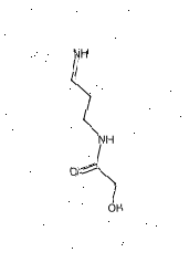 N=CCCNC(=O)CO